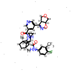 O=C(N[C@H]1[C@@H](C(=O)Nc2ccc(F)c(C(F)(F)F)c2)[C@H]2CC[C@@H]1/C2=C\C1CC1)c1cncc(C2=NOC3COCC23)c1